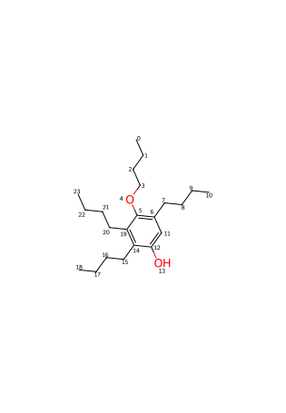 CCCCOc1c(CCCC)cc(O)c(CCCC)c1CCCC